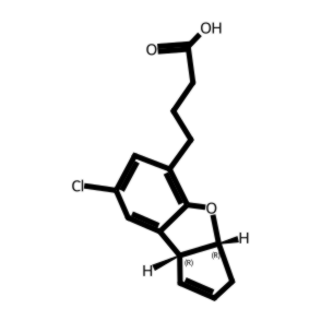 O=C(O)CCCc1cc(Cl)cc2c1O[C@@H]1CC=C[C@H]21